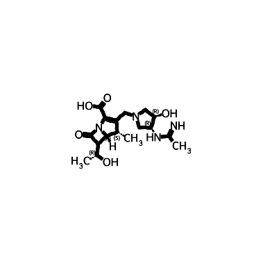 CC(=N)N[C@@H]1CN(CC2=C(C(=O)O)N3C(=O)C([C@@H](C)O)[C@H]3[C@H]2C)C[C@H]1O